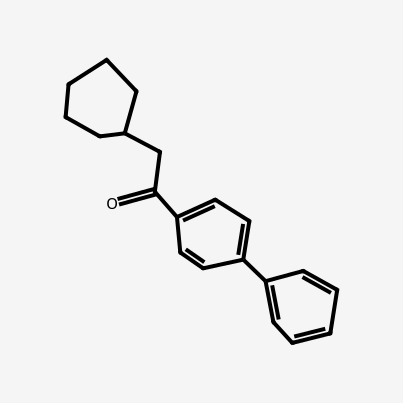 O=C(CC1CCCCC1)c1ccc(-c2ccccc2)cc1